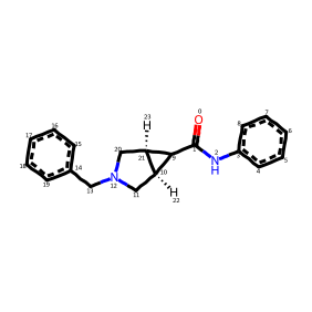 O=C(Nc1ccccc1)C1[C@H]2CN(Cc3ccccc3)C[C@@H]12